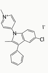 Cc1c(-c2ccccc2)c2cc(Cl)ccc2n1-c1cc[n+](C)cc1.[I-]